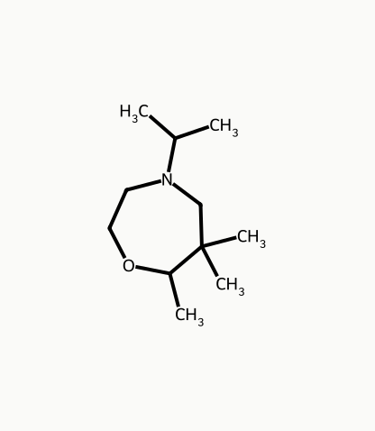 CC(C)N1CCOC(C)C(C)(C)C1